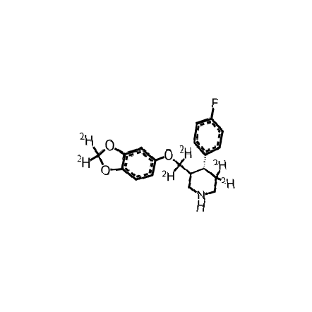 [2H]C1([2H])Oc2ccc(OC([2H])([2H])C3CNCC([2H])([2H])[C@H]3c3ccc(F)cc3)cc2O1